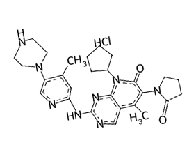 Cc1cc(Nc2ncc3c(C)c(N4CCCC4=O)c(=O)n(C4CCCC4)c3n2)ncc1N1CCNCC1.Cl